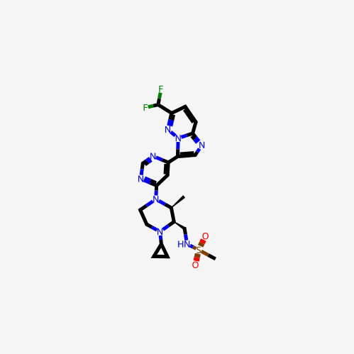 C[C@H]1[C@@H](CNS(C)(=O)=O)N(C2CC2)CCN1c1cc(-c2cnc3ccc(C(F)F)nn23)ncn1